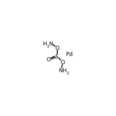 NOS(=O)ON.[Pd]